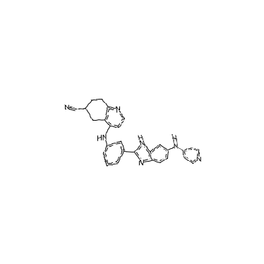 N#CC1CCc2nccc(Nc3cccc(-c4nc5ccc(Nc6ccncc6)cc5[nH]4)c3)c2C1